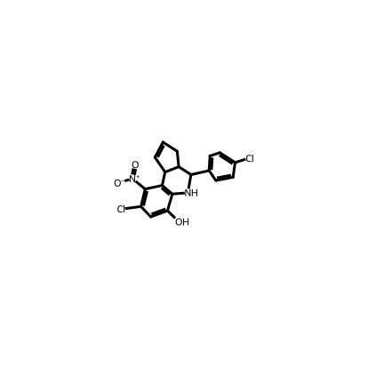 O=[N+]([O-])c1c(Cl)cc(O)c2c1C1C=CCC1C(c1ccc(Cl)cc1)N2